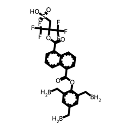 BCc1cc(CB)c(OC(=O)c2cccc3c(C(=O)OC(CS(=O)(=O)O)(C(F)(F)F)C(F)(F)F)cccc23)c(CB)c1